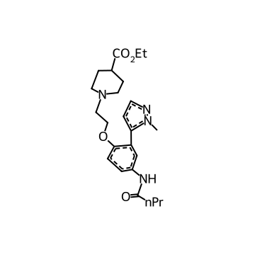 CCCC(=O)Nc1ccc(OCCN2CCC(C(=O)OCC)CC2)c(-c2ccnn2C)c1